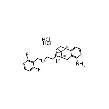 CC1(C)[C@H]2Cc3c(N)cccc3[C@]1(C)CCN2CCOCc1c(F)cccc1F.Cl.Cl